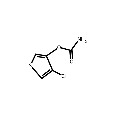 NC(=O)Oc1cscc1Cl